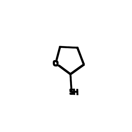 SC1CCCO1